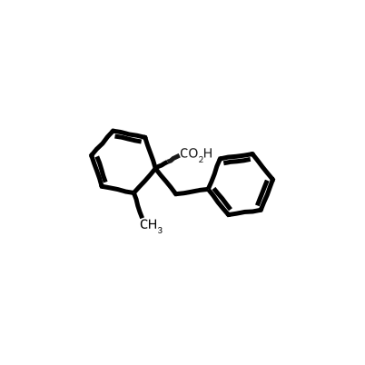 CC1C=CC=CC1(Cc1ccccc1)C(=O)O